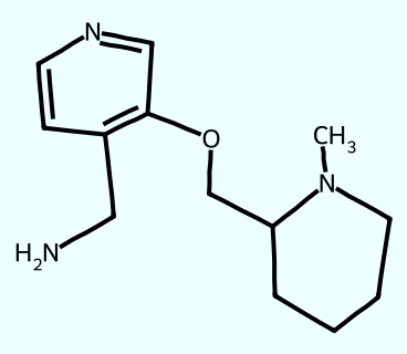 CN1CCCCC1COc1cnccc1CN